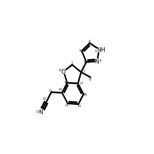 CC1(c2cc[nH]n2)COc2c(CC#N)cccc21